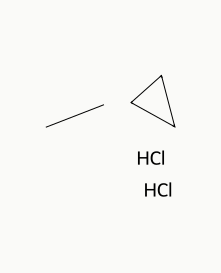 C1CC1.CC.Cl.Cl